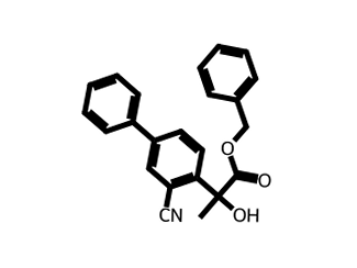 CC(O)(C(=O)OCc1ccccc1)c1ccc(-c2ccccc2)cc1C#N